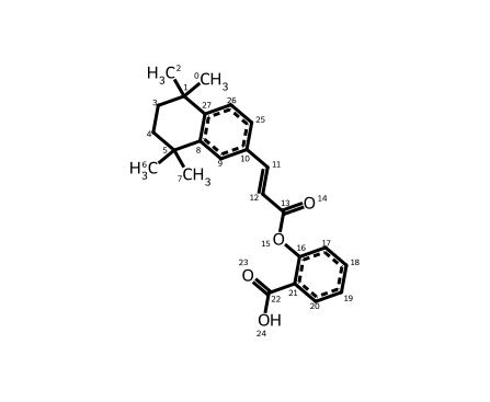 CC1(C)CCC(C)(C)c2cc(C=CC(=O)Oc3ccccc3C(=O)O)ccc21